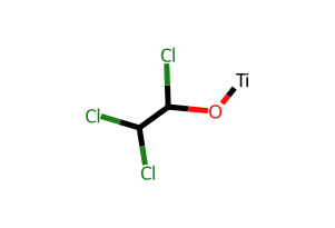 ClC(Cl)C(Cl)[O][Ti]